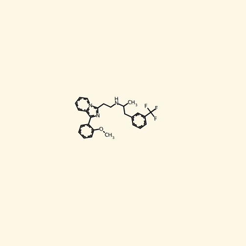 COc1ccccc1-c1nc(CCNC(C)Cc2cccc(C(F)(F)F)c2)n2ccccc12